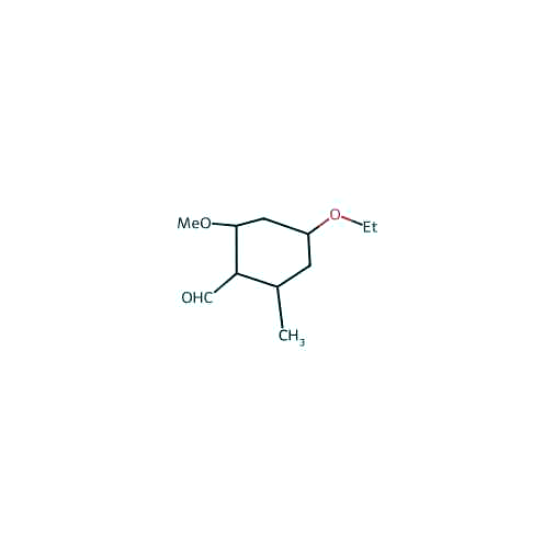 CCOC1CC(C)C(C=O)C(OC)C1